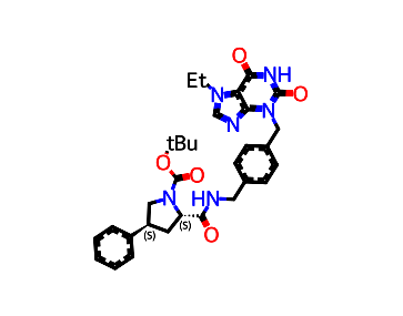 CCn1cnc2c1c(=O)[nH]c(=O)n2Cc1ccc(CNC(=O)[C@@H]2C[C@@H](c3ccccc3)CN2C(=O)OC(C)(C)C)cc1